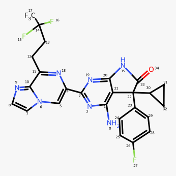 Nc1nc(-c2cn3ccnc3c(CCC(F)(F)C(F)(F)F)n2)nc2c1C(c1ccc(F)cc1)(C1CC1)C(=O)N2